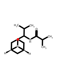 CC(C)C(=O)NC(CN1[C@@H]2COC[C@H]1C2)C(C)C